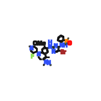 C=NN(C)C1=C(C)c2cc(Nc3ncc(Br)c(Nc4ccccc4P(C)(C)=O)n3)c(OC)cc2N(C2CCN(C)CC2F)CC1